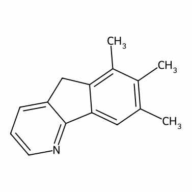 Cc1cc2c(c(C)c1C)Cc1cccnc1-2